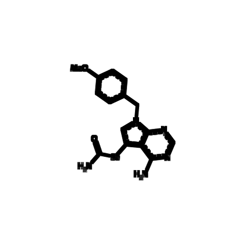 COc1ccc(Cn2cc([Se]C(N)=O)c3c(N)ncnc32)cc1